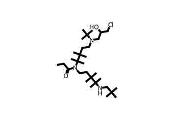 CCC(=O)N(CCC(C)(C)C(C)(C)NCC(C)(C)C)C(C)(C)C(C)(C)CCN(CC(O)CCl)C(C)(C)C